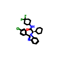 O=C(NC1CCC(F)(F)CC1)[C@H](C1CCCCC1)n1c(-c2ccc(Cl)cc2)nc2ccccc21